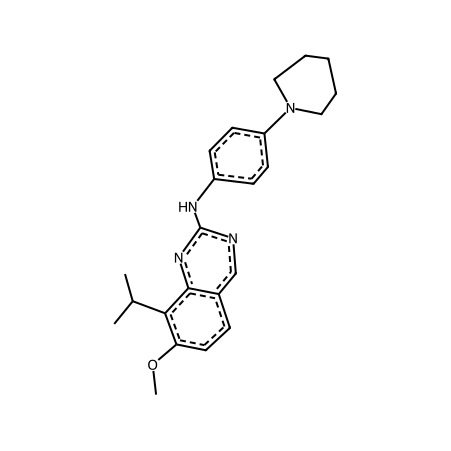 COc1ccc2cnc(Nc3ccc(N4CCCCC4)cc3)nc2c1C(C)C